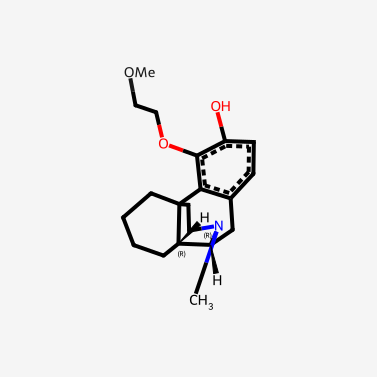 COCCOc1c(O)ccc2c1C13CCCC[C@H]1[C@@H](C2)N(C)CC3